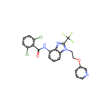 O=C(Nc1cccc2c1nc(C(F)(F)F)n2CCOc1cccnc1)c1c(Cl)cccc1Cl